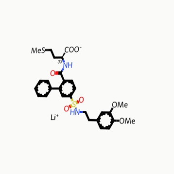 COc1ccc(CCNS(=O)(=O)c2ccc(C(=O)N[C@@H](CCSC)C(=O)[O-])c(-c3ccccc3)c2)cc1OC.[Li+]